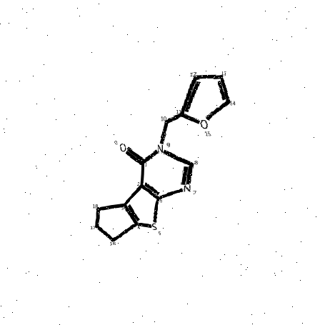 O=c1c2c3c(sc2ncn1Cc1ccco1)CCC3